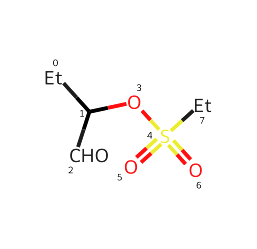 CCC(C=O)OS(=O)(=O)CC